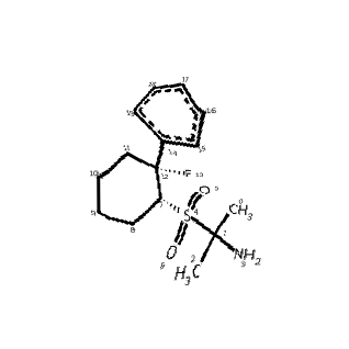 CC(C)(N)S(=O)(=O)[C@@H]1CCCC[C@@]1(F)c1ccccc1